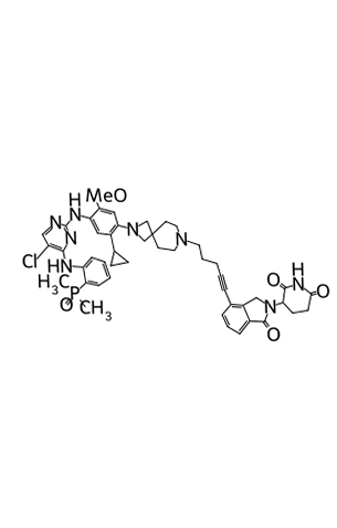 COc1cc(N2CC3(CCN(CCCC#Cc4cccc5c4CN(C4CCC(=O)NC4=O)C5=O)CC3)C2)c(C2CC2)cc1Nc1ncc(Cl)c(Nc2ccccc2P(C)(C)=O)n1